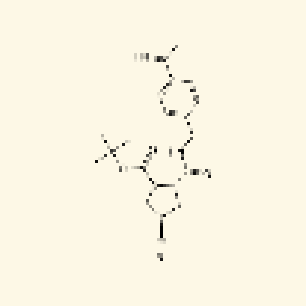 CC(=N)c1ccc(CNC(=O)[C@@H]2C[C@@H](C#N)CN2C(=O)OC(C)(C)C)cc1